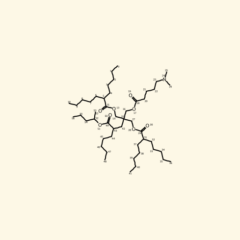 CCCCCC(CCCCC)C(=O)OCC(COC(=O)CCCCN(C)C)(COC(=O)C(CCCCC)CCCCC)CC(CCCCC)C(=O)OC(C)CCC